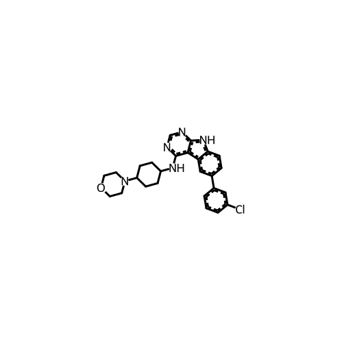 Clc1cccc(-c2ccc3[nH]c4ncnc(NC5CCC(N6CCOCC6)CC5)c4c3c2)c1